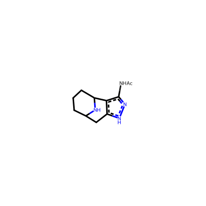 CC(=O)Nc1n[nH]c2c1C1CCCC(C2)N1